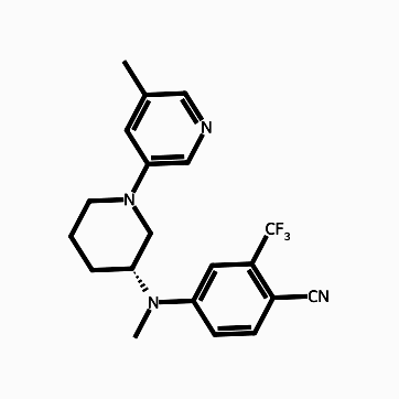 Cc1cncc(N2CCC[C@@H](N(C)c3ccc(C#N)c(C(F)(F)F)c3)C2)c1